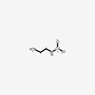 NCC[NH][Cd]([Cl])[Cl]